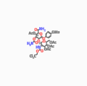 COc1ccc(O[C@@H]2OC(C(N)=O)[C@H](OC(C)=O)[C@H](OC(N)=O)C2O[C@@H]2OC(COC(C)=O)[C@@H](OC(C)=O)C(OC(C)=O)[C@@H]2NC(=O)OCC(Cl)(Cl)Cl)cc1